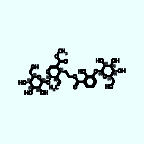 C=C[C@H]1[C@H](O[C@@H]2O[C@H](CO)[C@@H](O)[C@H](O)[C@H]2O)OC=C(C(=O)OC)[C@H]1CCOC(=O)c1cccc(O[C@@H]2O[C@H](CO)[C@@H](O)[C@H](O)[C@H]2O)c1O